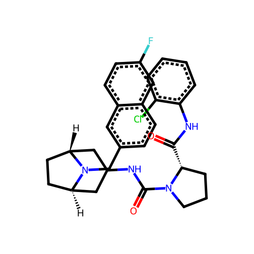 O=C(Nc1ccccc1Cl)[C@@H]1CCCN1C(=O)NC1C[C@H]2CC[C@H](C1)N2Cc1ccc2cc(F)ccc2c1